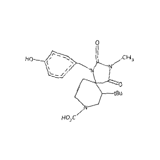 CN1C(=O)N(c2ccc(O)cc2)C2(CCN(C(=O)O)CC2C(C)(C)C)C1=O